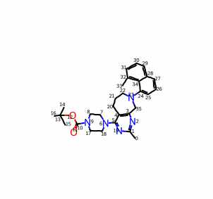 Cc1nc2c(c(N3CCN(C(=O)OC(C)(C)C)CC3)n1)CCCN(c1cccc3cccc(C)c13)C2